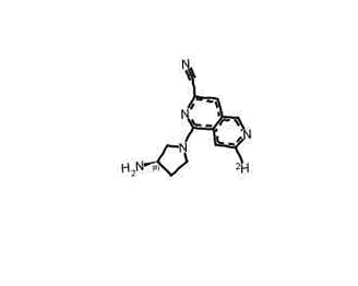 [2H]c1cc2c(N3CC[C@@H](N)C3)nc(C#N)cc2cn1